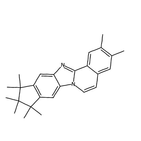 Cc1cc2ccn3c4cc5c(cc4nc3c2cc1C)C(C)(C)C(C)(C)C5(C)C